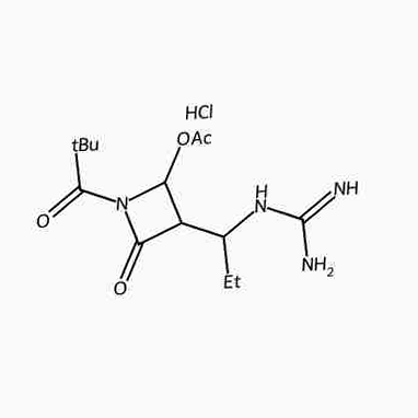 CCC(NC(=N)N)C1C(=O)N(C(=O)C(C)(C)C)C1OC(C)=O.Cl